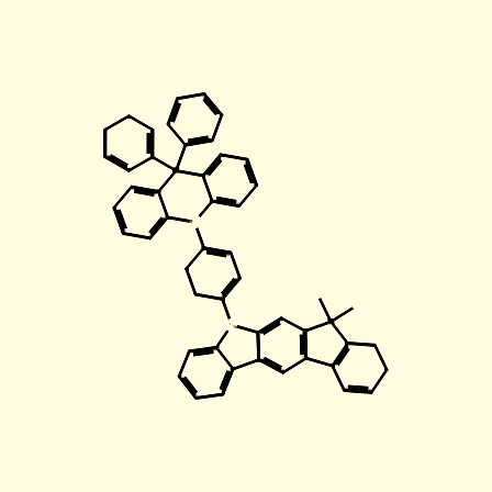 CC1(C)C2=C(C=CCC2)c2cc3c4ccccc4n(C4=CC=C(N5c6ccccc6C(C6=CCCC=C6)(c6ccccc6)c6ccccc65)CC4)c3cc21